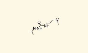 CC(C)=NNC(=O)NCCCN(C)C